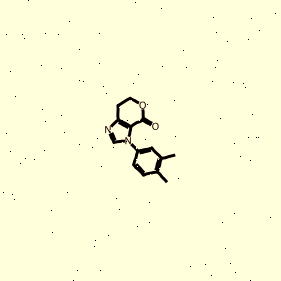 Cc1ccc(-n2cnc3c2C(=O)OCC3)cc1C